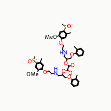 COc1cc([S+](C)[O-])c(C)cc1OCCNCC(COc1ccccc1C)OC(=O)C(=O)OC(CNCCOc1cc(C)c([S+](C)[O-])cc1OC)COc1ccccc1C